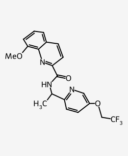 COc1cccc2ccc(C(=O)NC(C)c3ccc(OCC(F)(F)F)cn3)nc12